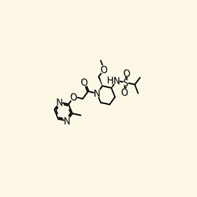 COC[C@H]1[C@@H](NS(=O)(=O)C(C)C)CCCN1C(=O)COc1nccnc1C